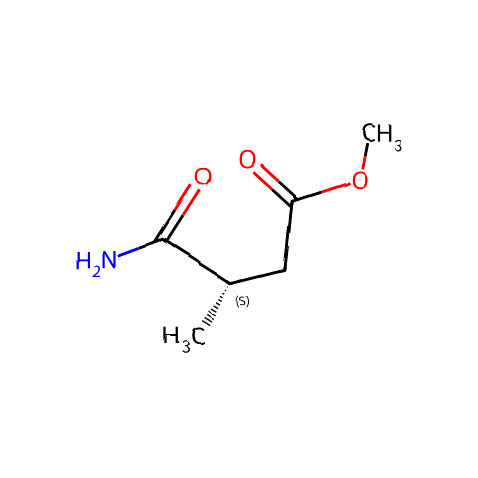 COC(=O)C[C@H](C)C(N)=O